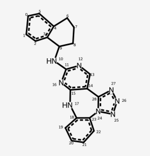 c1ccc2c(c1)CCCC2Nc1ncc2c(n1)Nc1ccccc1-n1nnnc1-2